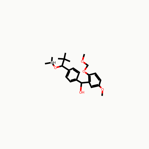 COCOc1ccc(OC)cc1C(O)c1ccc(C(O[SiH](C)C)C(C)(C)C)cc1